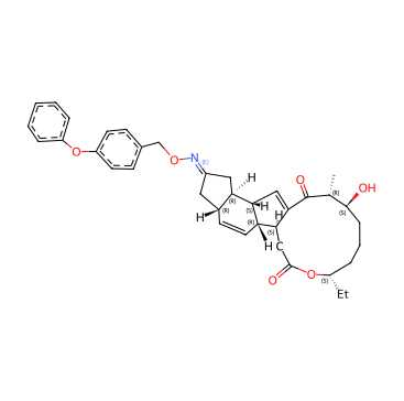 CC[C@H]1CCC[C@H](O)[C@@H](C)C(=O)C2=C[C@@H]3[C@@H](C=C[C@@H]4C/C(=N\OCc5ccc(Oc6ccccc6)cc5)C[C@@H]34)[C@@H]2CC(=O)O1